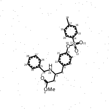 COC(=O)CC(Cc1ccc(OS(=O)(=O)c2ccc(C)cc2)cc1)NCc1ccccc1